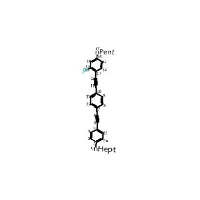 CCCCCCCc1ccc(C#Cc2ccc(C#Cc3ccc(CCCCC)cc3F)cc2)cc1